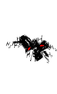 C[C@@H](c1ccccc1)N(CC(N)=O)C(=O)CN(C(=O)CN(CCCCN)C(=O)CN(C(=O)CN(C(=O)CN(CCCCN)C(=O)CN(C(=O)CN(C(=O)CN(CCCCN)C(=O)CN(C(=O)CN(C(=O)CNCCCCN)[C@@H](C)c1ccccc1)[C@@H](C)c1ccccc1)[C@@H](C)c1ccccc1)[C@@H](C)c1ccccc1)[C@@H](C)c1ccccc1)[C@@H](C)c1ccccc1)[C@@H](C)c1ccccc1